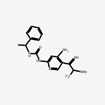 CNC(C(=N)c1cnc(NC(=O)NC(C)c2ccccc2)cc1N)C(F)(F)F